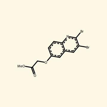 COC(=O)COc1ccc2nc(Br)c(Br)cc2c1